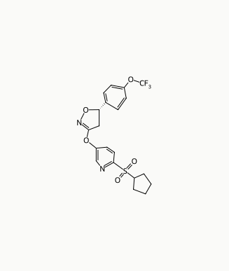 O=S(=O)(c1ccc(OC2=NO[C@H](c3ccc(OC(F)(F)F)cc3)C2)cn1)C1CCCC1